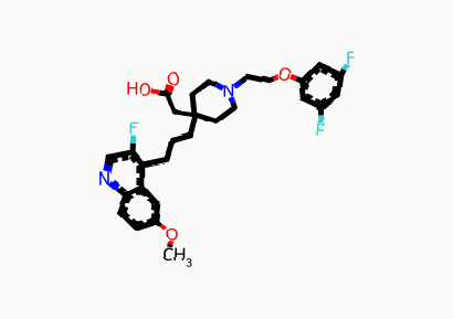 COc1ccc2ncc(F)c(CCCC3(CC(=O)O)CCN(CCOc4cc(F)cc(F)c4)CC3)c2c1